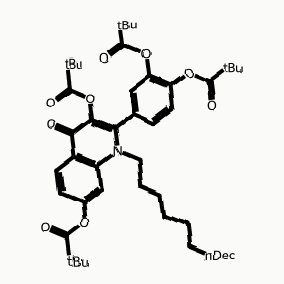 CCCCCCCCCCCCCCCCn1c(-c2ccc(OC(=O)C(C)(C)C)c(OC(=O)C(C)(C)C)c2)c(OC(=O)C(C)(C)C)c(=O)c2ccc(OC(=O)C(C)(C)C)cc21